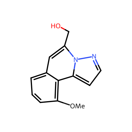 COc1cccc2cc(CO)n3nccc3c12